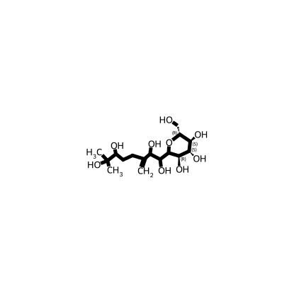 C=C(CCC(O)C(C)(C)O)C(O)C(O)C1O[C@H](CO)[C@@H](O)[C@H](O)[C@H]1O